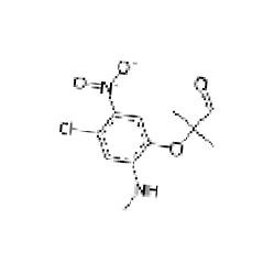 CNc1cc(Cl)c([N+](=O)[O-])cc1OC(C)(C)C=O